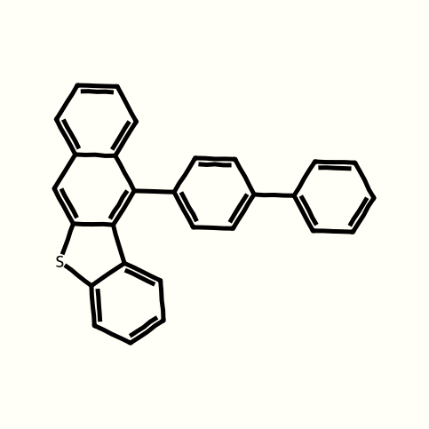 c1ccc(-c2ccc(-c3c4ccccc4cc4sc5ccccc5c34)cc2)cc1